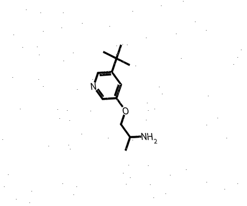 CC(N)COc1cncc(C(C)(C)C)c1